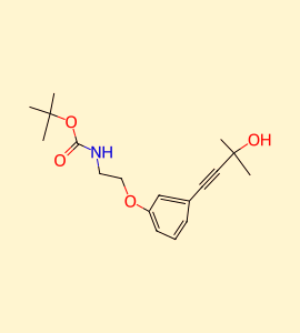 CC(C)(O)C#Cc1cccc(OCCNC(=O)OC(C)(C)C)c1